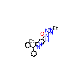 CCc1c(C(c2ccccc2)c2ccccc2)nn2ccc(C(=O)Nc3ncn(CC)n3)cc12